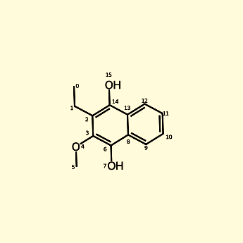 CCc1c(OC)c(O)c2ccccc2c1O